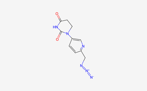 [N-]=[N+]=NCc1ccc(N2CCC(=O)NC2=O)cn1